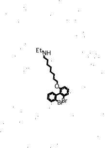 CCNCCCCCCCCOc1cccc(Br)c1-c1ccccc1Br